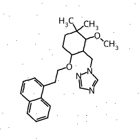 COC1C(Cn2cncn2)C(OCCc2cccc3ccccc23)CCC1(C)C